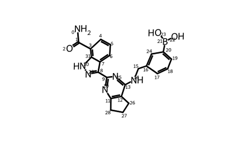 NC(=O)c1cccc2c(-c3nc4c(c(NCc5cccc(B(O)O)c5)n3)CCC4)n[nH]c12